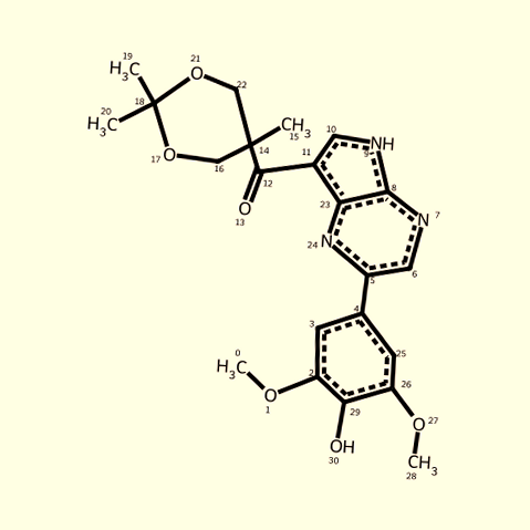 COc1cc(-c2cnc3[nH]cc(C(=O)C4(C)COC(C)(C)OC4)c3n2)cc(OC)c1O